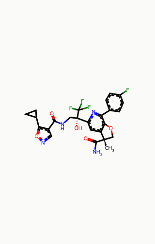 C[C@]1(C(N)=O)COc2c1cc([C@@](O)(CNC(=O)c1cnoc1C1CC1)C(F)(F)F)nc2-c1ccc(F)cc1